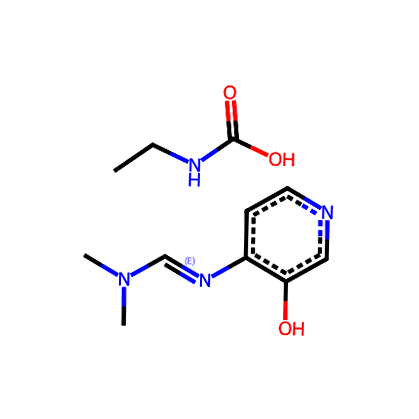 CCNC(=O)O.CN(C)/C=N/c1ccncc1O